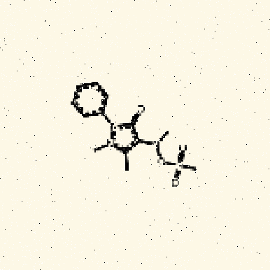 Cc1c(N(C)OS(C)(=O)=O)c(=O)n(-c2ccccc2)n1C